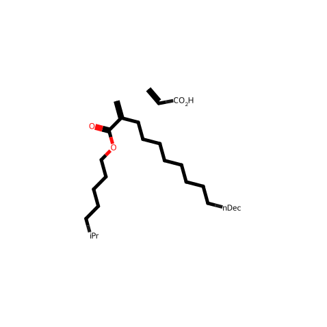 C=C(CCCCCCCCCCCCCCCCCC)C(=O)OCCCCCC(C)C.C=CC(=O)O